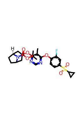 Cc1c(Oc2ccc(S(=O)(=O)C3CC3)cc2F)ncnc1O[C@H]1CC2CC[C@@H](C1)N2C(=O)OC(C)C